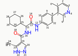 Cc1ccnc(C)c1-c1ccc(NC(=O)C(NC(=O)c2cn[nH]c2C(C)C)C2CCCCC2)cc1